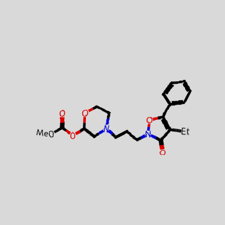 CCc1c(-c2ccccc2)on(CCCN2CCOC(OC(=O)OC)C2)c1=O